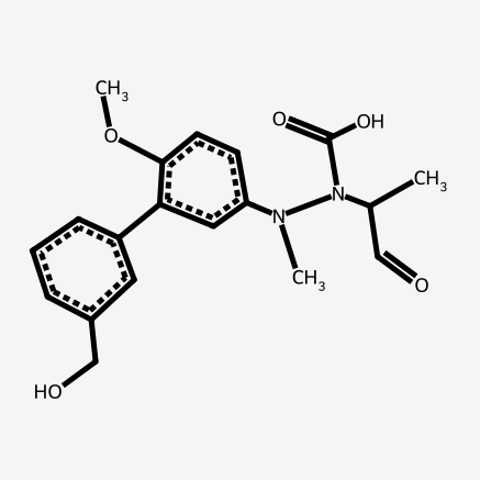 COc1ccc(N(C)N(C(=O)O)C(C)C=O)cc1-c1cccc(CO)c1